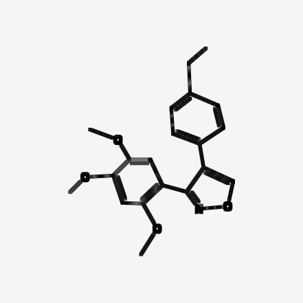 CCc1ccc(-c2conc2-c2cc(OC)c(OC)cc2OC)cc1